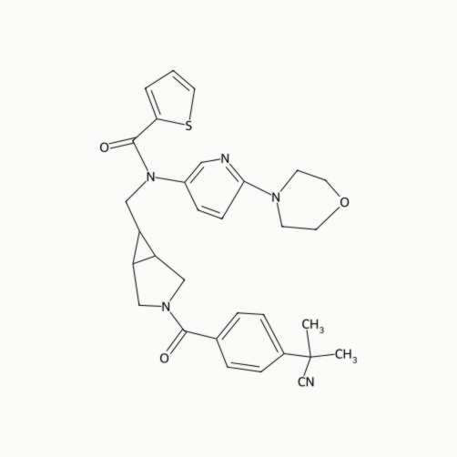 CC(C)(C#N)c1ccc(C(=O)N2CC3C(C2)C3CN(C(=O)c2cccs2)c2ccc(N3CCOCC3)nc2)cc1